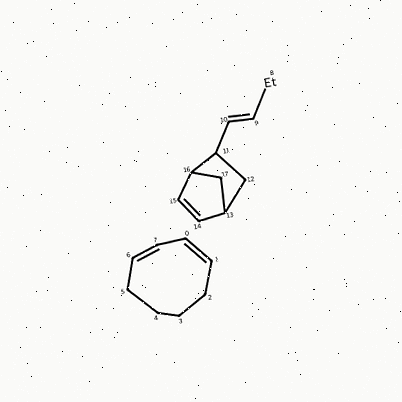 C1=CCCCCC=C1.CCC=CC1CC2C=CC1C2